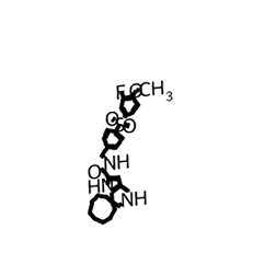 COc1ccc(S(=O)(=O)c2ccc(CNC(=O)c3cc4c([nH]3)C3(CCCCCCCC3)CNC4)cc2)cc1F